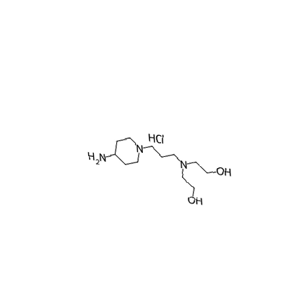 Cl.NC1CCN(CCCN(CCO)CCO)CC1